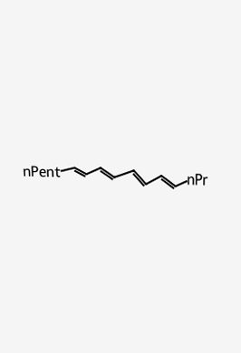 [CH2]CCCCC=CC=CC=CC=CCCC